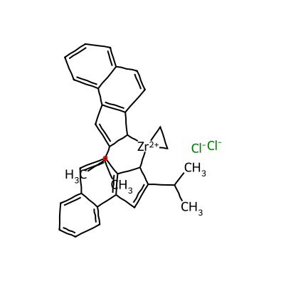 CC(C)C1=Cc2c(ccc3ccccc23)[CH]1[Zr+2]1([CH]2C(C(C)C)=Cc3c2ccc2ccccc32)[CH2][CH2]1.[Cl-].[Cl-]